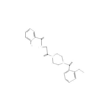 O=C(NCC(=O)N1CCN(C(=O)c2ccccc2CF)CC1)c1ccccc1O